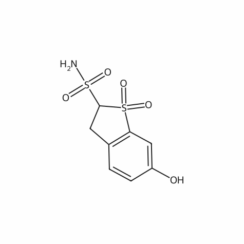 NS(=O)(=O)C1Cc2ccc(O)cc2S1(=O)=O